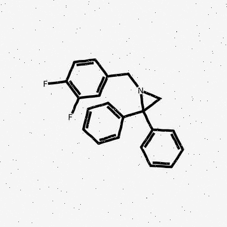 Fc1ccc(CN2CC2(c2ccccc2)c2ccccc2)cc1F